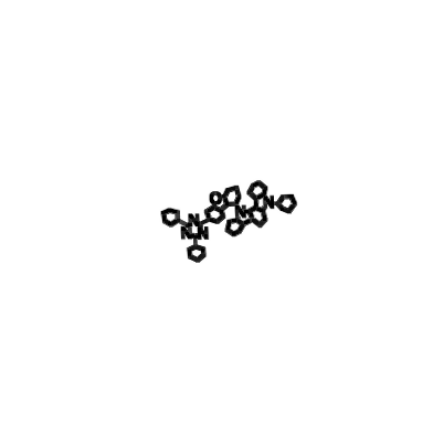 c1ccc(-c2nc(-c3ccccc3)nc(-c3ccc4c(c3)oc3cccc(-n5c6ccccc6c6ccc7c(c8ccccc8n7-c7ccccc7)c65)c34)n2)cc1